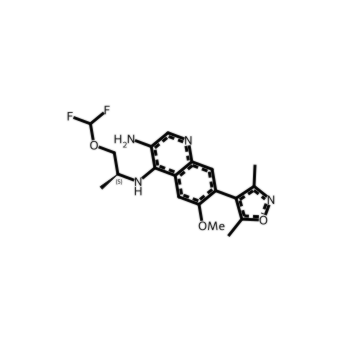 COc1cc2c(N[C@@H](C)COC(F)F)c(N)cnc2cc1-c1c(C)noc1C